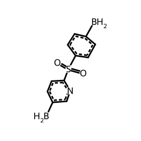 Bc1ccc(S(=O)(=O)c2ccc(B)cn2)cc1